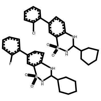 O=S1(=O)NC(C2CCCCC2)Nc2ccc(-c3ccccc3Cl)cc21.O=S1(=O)NC(C2CCCCC2)Nc2ccc(-c3ccccc3F)cc21